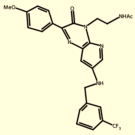 COc1ccc(-c2nc3cc(NCc4cccc(C(F)(F)F)c4)cnc3n(CCNC(C)=O)c2=O)cc1